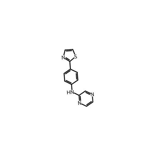 c1cnc(Nc2ccc(-c3nccs3)cc2)cn1